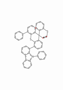 c1ccc(-c2cccc3c2Sc2c(-c4cccc5c6ccccc6n(-c6ccccc6)c45)cccc2C32c3ccccc3Sc3ccccc32)cc1